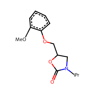 COc1ccccc1OCC1CN(C(C)C)C(=O)O1